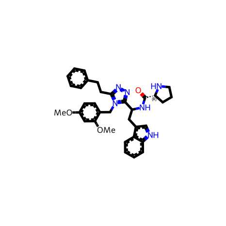 COc1ccc(Cn2c(CCc3ccccc3)nnc2C(Cc2c[nH]c3ccccc23)NC(=O)[C@H]2CCCN2)c(OC)c1